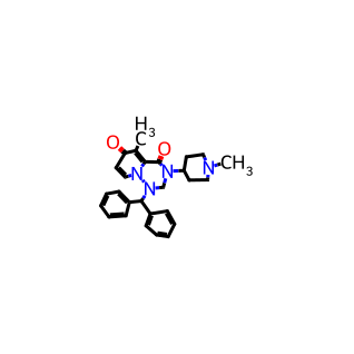 Cc1c2n(ccc1=O)N(C(c1ccccc1)c1ccccc1)CN(C1CCN(C)CC1)C2=O